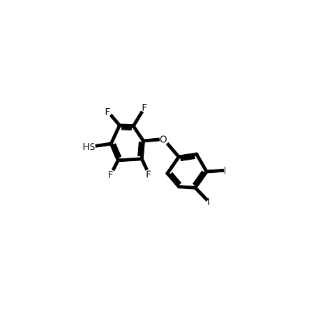 Fc1c(F)c(Oc2ccc(I)c(I)c2)c(F)c(F)c1S